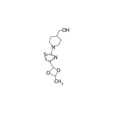 CC1OC(c2csc(N3CCC(CO)CC3)n2)O1